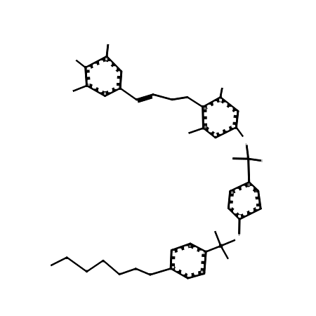 CCCCCCCc1ccc(C(F)(F)Oc2ccc(C(F)(F)Oc3cc(F)c(CC/C=C/c4cc(F)c(F)c(F)c4)c(F)c3)cc2)cc1